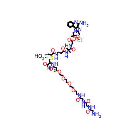 CCOCc1nc2c(N)nc3ccccc3c2n1CC(C)(C)OC(=O)CNC(=O)C(C)(C)NC(=O)CCNC(=O)C(CC(=O)O)SCC(NC(=O)CCOCCOCCOCCOCCNC(=O)CNC(=O)CNC(=O)CN)C(N)=O